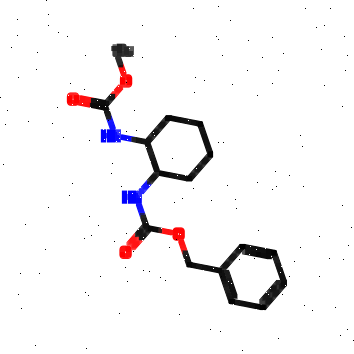 CC(C)(C)OC(=O)NC1CCCCC1NC(=O)OCc1ccccc1